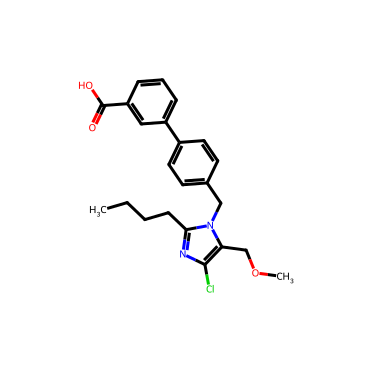 CCCCc1nc(Cl)c(COC)n1Cc1ccc(-c2cccc(C(=O)O)c2)cc1